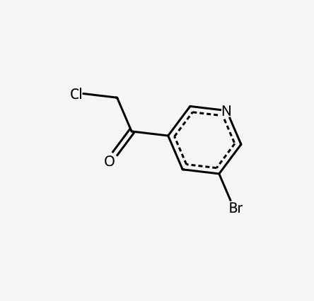 O=C(CCl)c1cncc(Br)c1